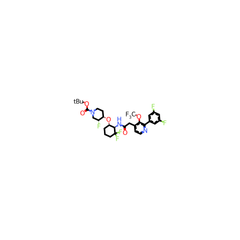 CC(C)(C)OC(=O)N1CC[C@H](O[C@H]2CCCC(F)(F)[C@@H]2NC(=O)Cc2ccnc(-c3cc(F)cc(F)c3)c2OC(F)(F)F)[C@H](F)C1